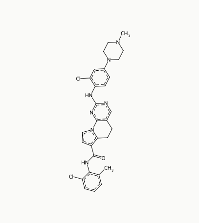 Cc1cccc(Cl)c1NC(=O)c1ccn2c1CCc1cnc(Nc3ccc(N4CCN(C)CC4)cc3Cl)nc1-2